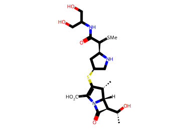 CSC(C(=O)NC(CO)CO)[C@@H]1C[C@H](SC2=C(C(=O)O)N3C(=O)[C@H]([C@@H](C)O)[C@H]3[C@H]2C)CN1